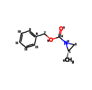 C[C@H]1CN1C(=O)OCc1ccccc1